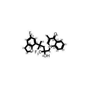 Cc1cn(CC(O)(CC(C)(C)c2cc(F)cc3c2OCC3)C(F)(F)F)c2ccccc2c1=O